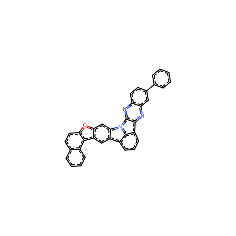 c1ccc(-c2ccc3nc4c(nc3c2)c2cccc3c5cc6c(cc5n4c32)oc2ccc3ccccc3c26)cc1